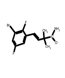 CC(C)(C=Cc1cc(F)cc(Br)c1F)[S+](N)[O-]